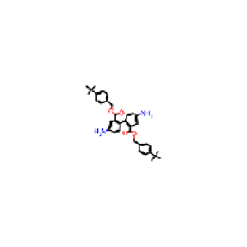 CC(C)(C)c1ccc(COC(=O)c2cc(N)ccc2-c2ccc(N)cc2C(=O)OCc2ccc(C(C)(C)C)cc2)cc1